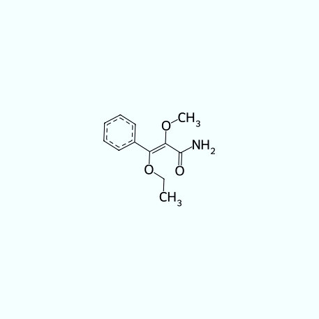 CCO/C(=C(/OC)C(N)=O)c1ccccc1